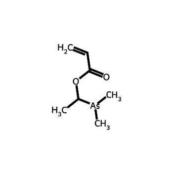 C=CC(=O)OC(C)[As](C)C